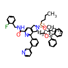 CCCC[S@@+]([O-])N1Cc2cc(C(=O)NCc3ccccc3F)nc(-c3cccc(-c4cccnc4)c3)c2[C@H]1CCO[Si](c1ccccc1)(c1ccccc1)C(C)(C)C